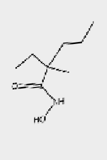 CCCC(C)(CC)C(=O)NO